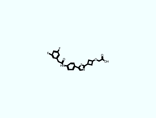 O=C(O)COC1CC(c2ncc(-c3ccc(NC(=O)Cc4cc(F)cc(F)c4)cc3)s2)C1